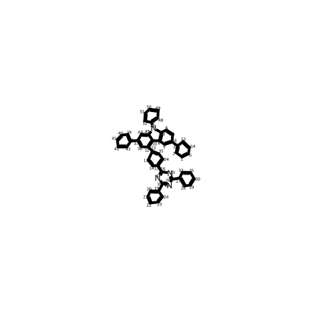 c1ccc(-c2ccc3c(c2)c2c(-c4ccc(-c5nc(-c6ccccc6)nc(-c6ccccc6)n5)cc4)cc(-c4ccccc4)cc2n3-c2ccccc2)cc1